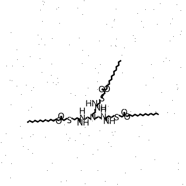 CCCCCCCCCCCCOC(=O)CCSCCCC(=N)NCCCN(CCCNC(=N)CCCSCCC(=O)OCCCCCCCCCCCC)CCCNC(=N)CCSCCC(=O)OCCCCCCCCCCCC